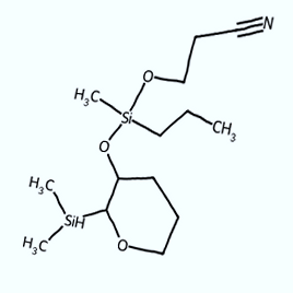 CCC[Si](C)(OCCC#N)OC1CCCOC1[SiH](C)C